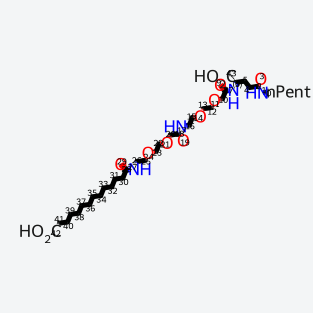 CCCCCNC(=O)CC[C@H](NC(=O)COCCOCCNC(=O)COCCOCCNC(=O)CCCCCCCCCCCCC(=O)O)C(=O)O